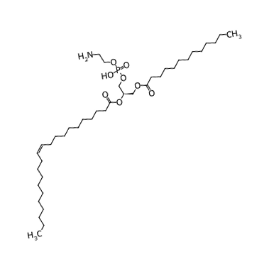 CCCCCCCCCC/C=C\CCCCCCCCCC(=O)O[C@H](COC(=O)CCCCCCCCCCCC)COP(=O)(O)OCCN